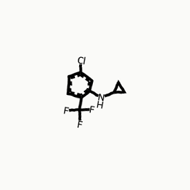 FC(F)(F)c1ccc(Cl)cc1NC1CC1